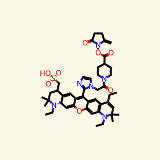 C=C1CCC(=O)N1OC(=O)C1CCN(C(=O)Cn2ccnc2C2=c3cc4c(cc3Oc3cc5c(cc32)C(CC)=CC(C)(C)N5CC)=[N+](CC)C(C)(C)CC4CS(=O)(=O)O)CC1